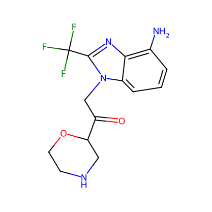 Nc1cccc2c1nc(C(F)(F)F)n2CC(=O)C1CNCCO1